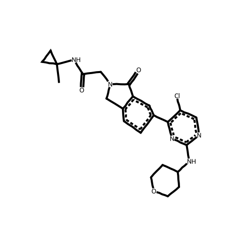 CC1(NC(=O)CN2Cc3ccc(-c4nc(NC5CCOCC5)ncc4Cl)cc3C2=O)CC1